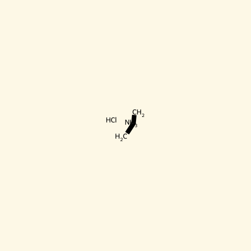 C=C=C.Cl.N